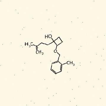 C=C(C)CCC1(O)CCC1OCc1ccccc1C